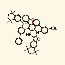 CC(C)(C)c1ccc(N2c3cc4oc5ccccc5c4c(-c4cc(-c5ccccc5)ccc4Nc4ccc5c(c4)C(C)(C)CCC5(C)C)c3Bc3c2oc2cc4c(cc32)C(C)(C)CCC4(C)C)c(-c2ccccc2)c1